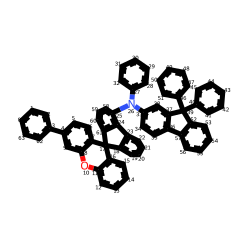 c1ccc(-c2ccc3c(c2)Oc2ccccc2C32c3ccccc3-c3c(N(c4ccccc4)c4ccc5c(c4)C(c4ccccc4)(c4ccccc4)c4ccccc4-5)cccc32)cc1